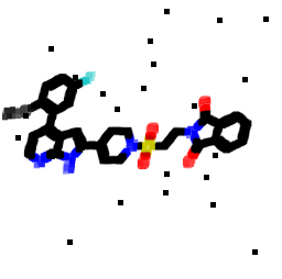 COc1ccc(F)cc1-c1ccnc2[nH]c(C3=CCN(S(=O)(=O)CCN4C(=O)c5ccccc5C4=O)CC3)cc12